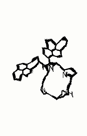 C1=Cc2cc3[nH]c(cc4nc(cc5ccc(cc1n2)[nH]5)C=C4)c(-c1ccc2ccc4cccc5ccc1c2c45)c3-c1ccc2ccc3cccc4ccc1c2c34